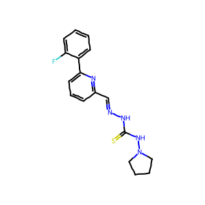 Fc1ccccc1-c1cccc(C=NNC(=S)NN2CCCC2)n1